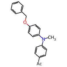 CC(=O)c1ccc(N(C)c2ccc(OCc3ccccc3)cc2)cc1